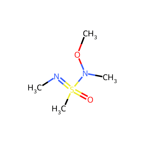 CN=S(C)(=O)N(C)OC